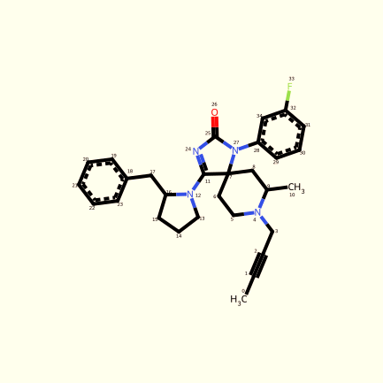 CC#CCN1CCC2(CC1C)C(N1CCCC1Cc1ccccc1)=NC(=O)N2c1cccc(F)c1